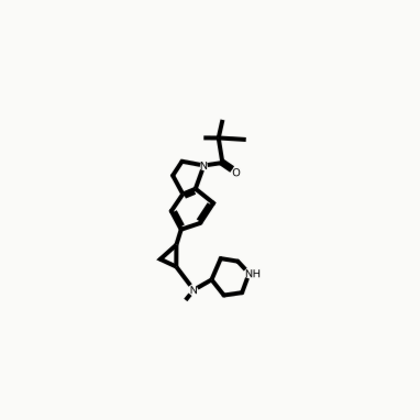 CN(C1CCNCC1)C1CC1c1ccc2c(c1)CCN2C(=O)C(C)(C)C